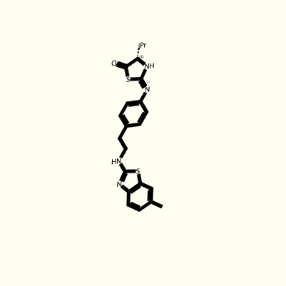 Cc1ccc2nc(NCCc3ccc(/N=C4/N[C@@H](C(C)C)C(=O)S4)cc3)sc2c1